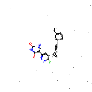 CCc1cccc(C#C[C@H]2C[C@@H]2c2cc(-c3c[nH]c(=O)[nH]c3=O)nnc2Cl)c1